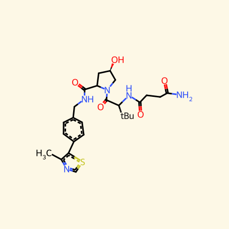 Cc1ncsc1-c1ccc(CNC(=O)C2C[C@@H](O)CN2C(=O)C(NC(=O)CCC(N)=O)C(C)(C)C)cc1